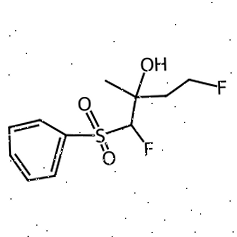 CC(O)(CCF)C(F)S(=O)(=O)c1ccccc1